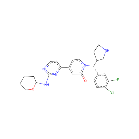 O=c1cc(-c2ccnc(NC3CCCCO3)n2)ccn1[C@@H](c1ccc(Cl)c(F)c1)C1CCNC1